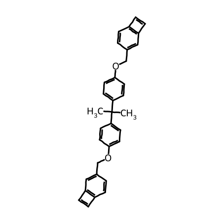 CC(C)(c1ccc(OCc2ccc3c(c2)C=C3)cc1)c1ccc(OCc2ccc3c(c2)C=C3)cc1